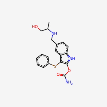 CC(CO)NCc1ccc2[nH]c(OC(N)=O)c(Sc3ccccc3)c2c1